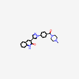 CN1CCN(C(=O)c2ccc(-n3cc(-c4cc5ccccc5[nH]c4=O)cn3)cc2)CC1